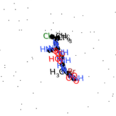 C[C@H]1CN([C@H]2CC[C@H](CNc3ccc(S(=O)(=O)NC(=O)c4ccc(N5CCN(CC6=C(c7ccc(Cl)cc7)CC(C)(C)CC6)CC5)cc4Oc4cnc5[nH]ccc5c4)cc3[NH+]([O-])O)CC2)CCN1Cc1cc(Br)c2c(c1)C(=O)N(C1CCC(=O)NC1=O)C2